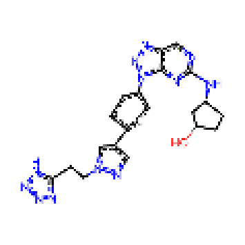 O[C@H]1CC[C@H](Nc2ncc3nnn(-c4ccc(-c5cnn(CCc6nnn[nH]6)c5)cc4)c3n2)C1